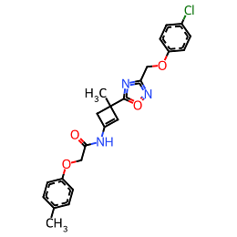 Cc1ccc(OCC(=O)NC2=CC(C)(c3nc(COc4ccc(Cl)cc4)no3)C2)cc1